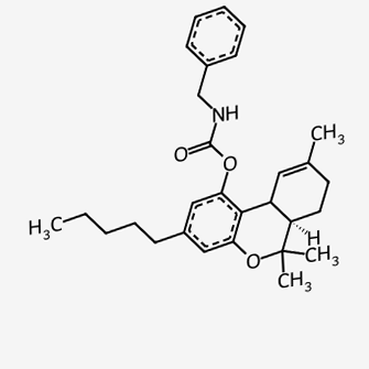 CCCCCc1cc(OC(=O)NCc2ccccc2)c2c(c1)OC(C)(C)[C@@H]1CCC(C)=CC21